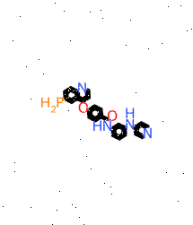 O=C(Nc1cccc(Nc2ccncc2)c1)c1ccc(Oc2ccnc3ccc(P)cc23)cc1